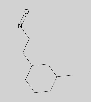 CC1CCCC(CCN=O)C1